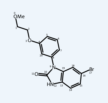 COCCOc1cccc(-n2c(=O)[nH]c3ccc(Br)cc32)c1